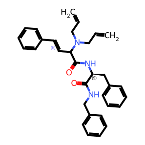 C=CCN(CC=C)C(/C=C/c1ccccc1)C(=O)N[C@@H](Cc1ccccc1)C(=O)NCc1ccccc1